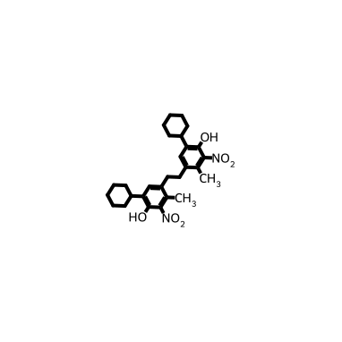 Cc1c(CCc2cc(C3CCCCC3)c(O)c([N+](=O)[O-])c2C)cc(C2CCCCC2)c(O)c1[N+](=O)[O-]